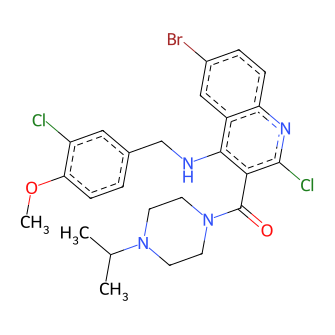 COc1ccc(CNc2c(C(=O)N3CCN(C(C)C)CC3)c(Cl)nc3ccc(Br)cc23)cc1Cl